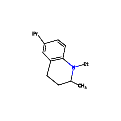 CCN1c2ccc(C(C)C)cc2CCC1C